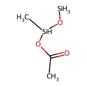 CC(=O)O[SiH](C)O[SiH3]